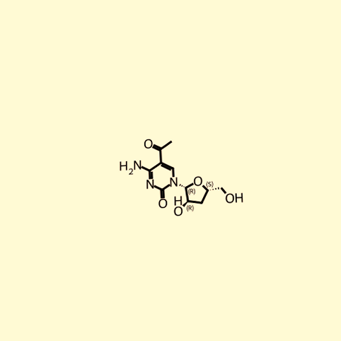 CC(=O)c1cn([C@@H]2O[C@H](CO)C[C@H]2O)c(=O)nc1N